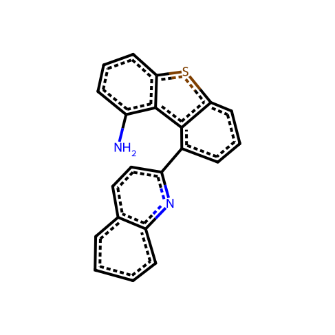 Nc1cccc2sc3cccc(-c4ccc5ccccc5n4)c3c12